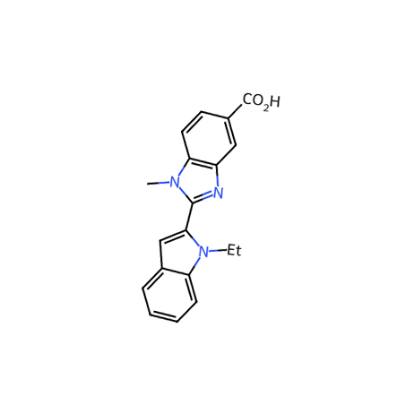 CCn1c(-c2nc3cc(C(=O)O)ccc3n2C)cc2ccccc21